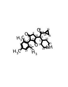 Cc1cc(C)c(C2C(=O)CC(C(C(=O)C3CC3)C3CCNCC3)C2=O)c(C)c1